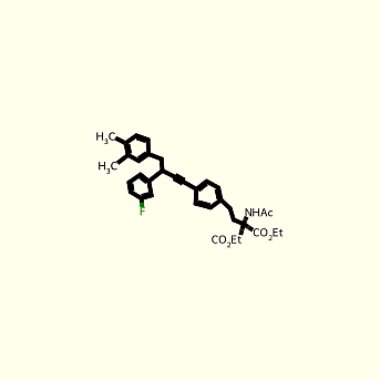 CCOC(=O)C(CCc1ccc(C#CC(Cc2ccc(C)c(C)c2)c2cccc(F)c2)cc1)(NC(C)=O)C(=O)OCC